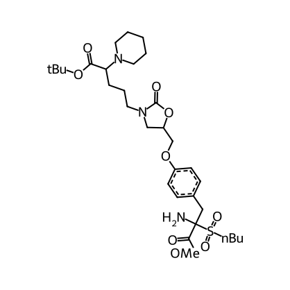 CCCCS(=O)(=O)C(N)(Cc1ccc(OCC2CN(CCCC(C(=O)OC(C)(C)C)N3CCCCC3)C(=O)O2)cc1)C(=O)OC